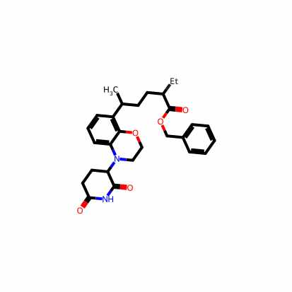 CCC(CCC(C)c1cccc2c1OCCN2C1CCC(=O)NC1=O)C(=O)OCc1ccccc1